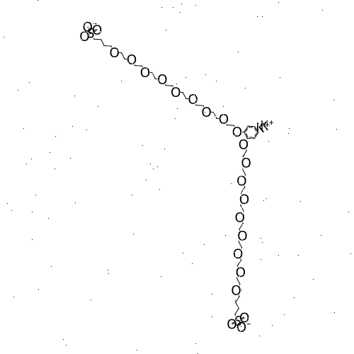 O=S(=O)([O-])CCCCOCCOCCOCCOCCOCCOCCOCCOCCOc1ccccc1OCCOCCOCCOCCOCCOCCOCCOCCOCCCCS(=O)(=O)[O-].[K+].[K+]